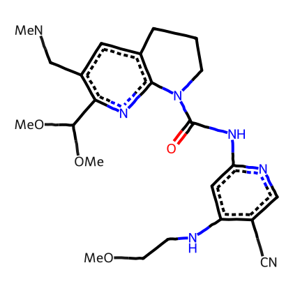 CNCc1cc2c(nc1C(OC)OC)N(C(=O)Nc1cc(NCCOC)c(C#N)cn1)CCC2